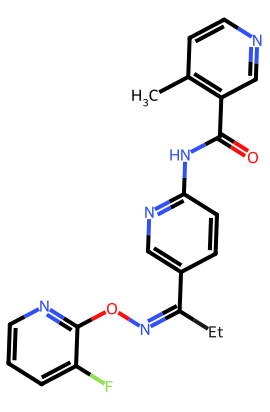 CCC(=NOc1ncccc1F)c1ccc(NC(=O)c2cnccc2C)nc1